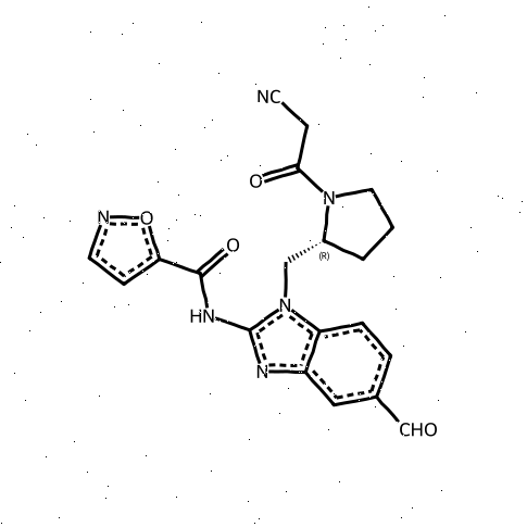 N#CCC(=O)N1CCC[C@@H]1Cn1c(NC(=O)c2ccno2)nc2cc(C=O)ccc21